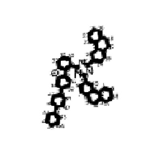 C1=Cc2c(ccc3ccc(-c4nc(C5=CC=C6C=Cc7ccccc7C6C5)nc(-c5cccc6oc7cc(-c8ccc(-c9ccccc9)cc8)ccc7c56)n4)cc23)CC1